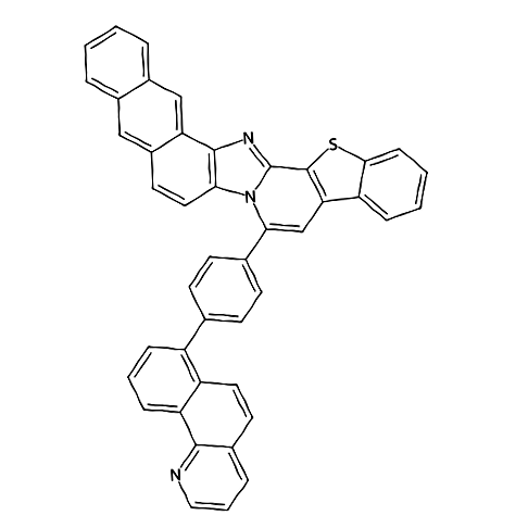 c1ccc2cc3c(ccc4c3nc3c5sc6ccccc6c5cc(-c5ccc(-c6cccc7c6ccc6cccnc67)cc5)n43)cc2c1